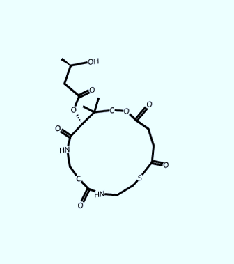 C[C@@H](O)CC(=O)O[C@H]1C(=O)NCCC(=O)NCCSC(=O)CCC(=O)OCC1(C)C